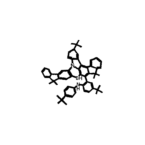 CC(C)(C)c1ccc(Nc2ccc(C(C)(C)C)cc2-c2c3c(c4c5cc(C(C)(C)C)ccc5n5c4c2Bc2cc4c(cc2-5)-c2ccccc2C4(C)C)-c2ccccc2C3(C)C)cc1